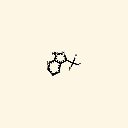 FC(F)(F)c1n[nH]c2nc[c]cc12